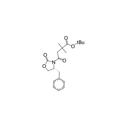 CC(C)(C)OC(=O)C(C)(C)CC(=O)N1C(=O)OC[C@H]1Cc1ccccc1